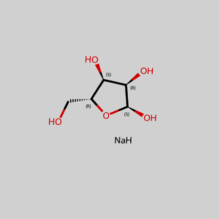 OC[C@H]1O[C@H](O)[C@H](O)[C@@H]1O.[NaH]